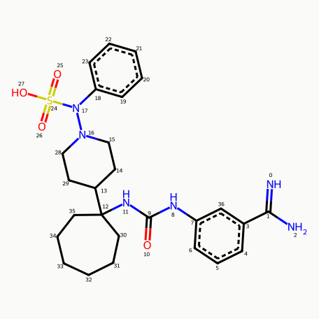 N=C(N)c1cccc(NC(=O)NC2(C3CCN(N(c4ccccc4)S(=O)(=O)O)CC3)CCCCCC2)c1